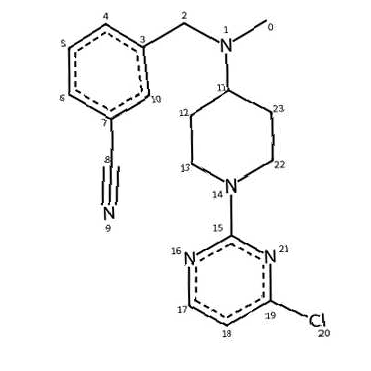 CN(Cc1cccc(C#N)c1)C1CCN(c2nccc(Cl)n2)CC1